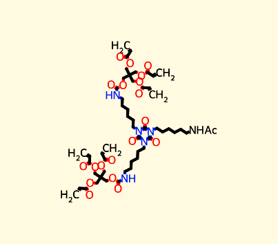 C=CC(=O)OCC(COC(=O)C=C)(COC(=O)C=C)COC(=O)NCCCCCCn1c(=O)n(CCCCCCNC(C)=O)c(=O)n(CCCCCCNC(=O)OCC(COC(=O)C=C)(COC(=O)C=C)COC(=O)C=C)c1=O